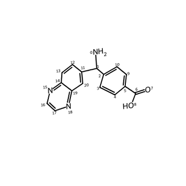 NC(c1ccc(C(=O)O)cc1)c1ccc2nccnc2c1